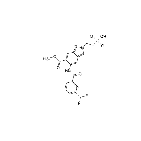 COC(=O)c1cc2nn(CCC(O)(Cl)Cl)cc2cc1NC(=O)c1cccc(C(F)F)n1